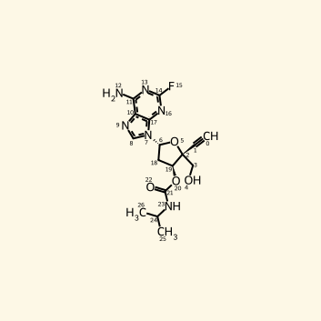 C#C[C@]1(CO)O[C@@H](n2cnc3c(N)nc(F)nc32)C[C@@H]1OC(=O)NC(C)C